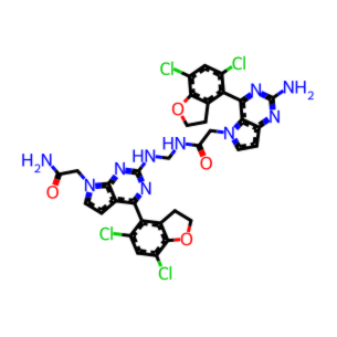 NC(=O)Cn1ccc2c(-c3c(Cl)cc(Cl)c4c3CCO4)nc(NCNC(=O)Cn3ccc4nc(N)nc(-c5c(Cl)cc(Cl)c6c5CCO6)c43)nc21